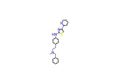 CN(CCc1ccc(Nc2nc(-c3ccccn3)cs2)cc1)Cc1ccccc1